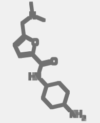 CN(C)Cc1ccc(C(=O)NC2CCC(N)CC2)o1